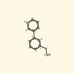 SCc1cccc(-c2cccnc2)c1